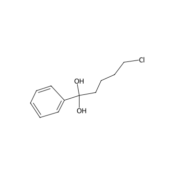 OC(O)(CCCCCl)c1ccccc1